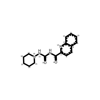 O=C(NC(=O)c1ccc2ccccc2n1)NN1CCCCC1